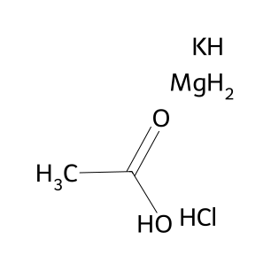 CC(=O)O.Cl.[KH].[MgH2]